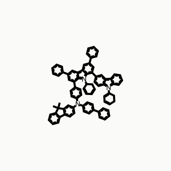 CC1(C)c2ccccc2-c2ccc(N(c3ccc(-c4ccccc4)cc3)c3ccc(-c4cc(-c5ccccc5)cc5c6cc(-c7ccccc7)cc(-c7ccc8c(c7)c7ccccc7n8C7=CC=CCC7)c6n(C6C=CC=CC6)c45)cc3)cc21